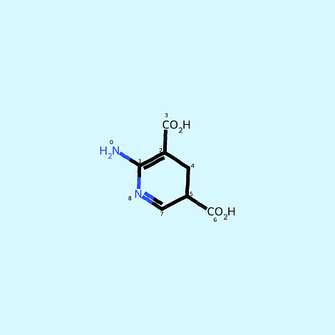 NC1=C(C(=O)O)CC(C(=O)O)C=N1